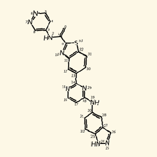 C=C(Nc1ccnnc1)c1nc2cc(-c3nccc(Nc4ccc5[nH]ncc5c4)n3)ccc2s1